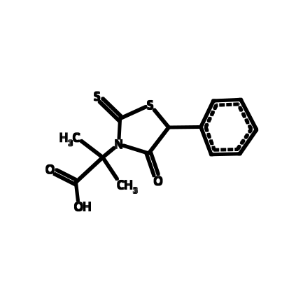 CC(C)(C(=O)O)N1C(=O)C(c2ccccc2)SC1=S